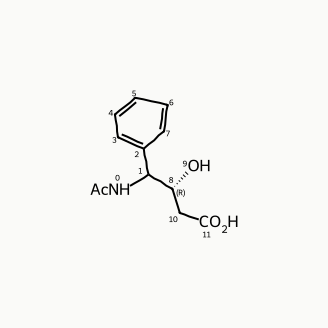 CC(=O)NC(c1ccccc1)[C@H](O)CC(=O)O